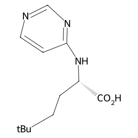 CC(C)(C)CC[C@H](Nc1ccncn1)C(=O)O